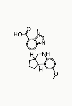 COc1ccc2c(c1)[C@@H]1CCC[C@@H]1[C@H](c1ccc(C(=O)O)c3c1ncn3C)N2